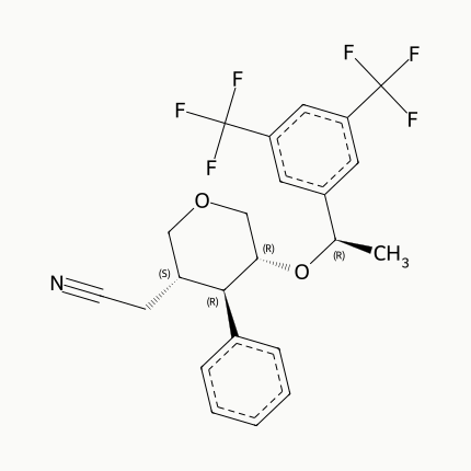 C[C@@H](O[C@H]1COC[C@@H](CC#N)[C@@H]1c1ccccc1)c1cc(C(F)(F)F)cc(C(F)(F)F)c1